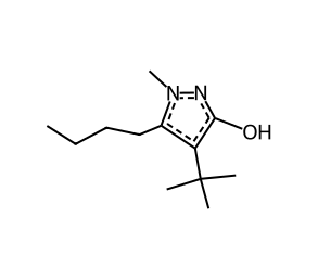 CCCCc1c(C(C)(C)C)c(O)nn1C